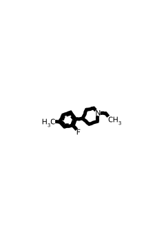 CCN1CCC(c2ccc(C)cc2F)CC1